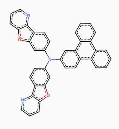 c1cnc2c(c1)oc1cc(N(c3ccc4c(c3)oc3cccnc34)c3ccc4c5ccccc5c5ccccc5c4c3)ccc12